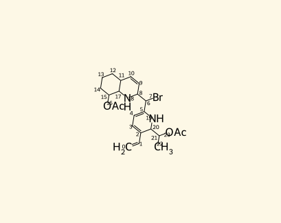 C=CC1=CC=C(C(Br)C2C=CC3CCCC(OC(C)=O)C3N2)NC1C(C)OC(C)=O